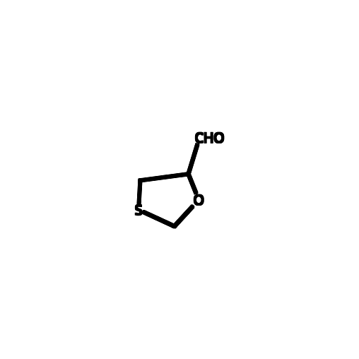 O=CC1CSCO1